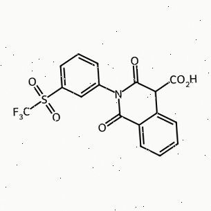 O=C(O)C1C(=O)N(c2cccc(S(=O)(=O)C(F)(F)F)c2)C(=O)c2ccccc21